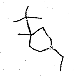 CCN1CCC(C)(C(C)(C)C)CC1